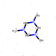 CN1BN(C(C)(C)C)BN(C(C)(C)C)B1